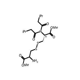 COC(=O)C(N)CSSC[C@@H](C(=O)OC)N(C(=O)CC(C)C)C(=O)CC(C)C